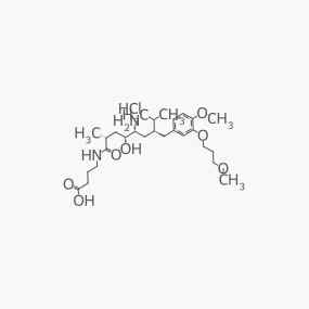 COCCCOc1cc(C[C@@H](C[C@H](N)[C@@H](O)C[C@@H](C)C(=O)NCCCC(=O)O)C(C)C)ccc1OC.Cl